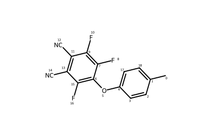 Cc1ccc(Oc2c(F)c(F)c(C#N)c(C#N)c2F)cc1